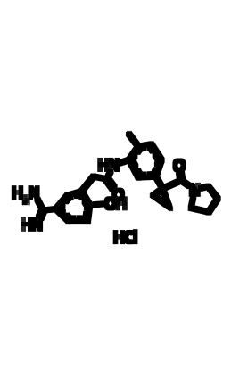 Cc1ccc(C2(C(=O)N3CCCC3)CC2)cc1NC(=O)Cc1cc(C(=N)N)ccc1O.Cl